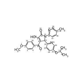 COc1ccc(C(=O)C2=C(O)C(=O)N(c3ccc(C)nn3)C2c2ccc(OC(C)C)cn2)cc1